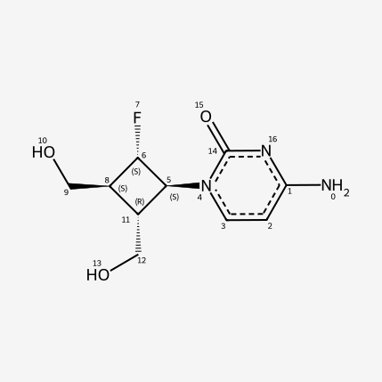 Nc1ccn([C@@H]2[C@@H](F)[C@H](CO)[C@H]2CO)c(=O)n1